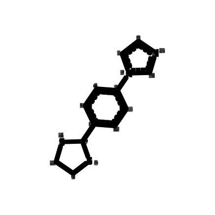 c1cn(-c2ccc(C3SCCS3)cc2)cn1